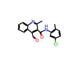 Cc1ccc(Cl)cc1NC(=O)c1c(C)nc2ccccc2c1C=O